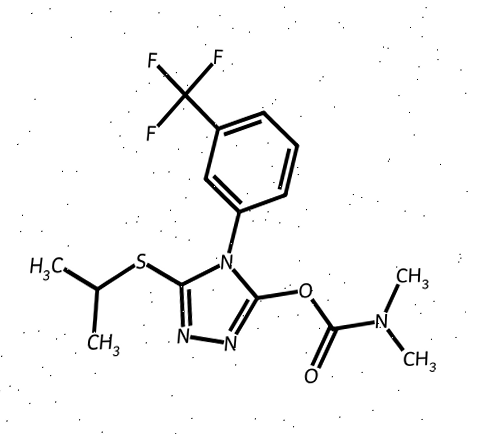 CC(C)Sc1nnc(OC(=O)N(C)C)n1-c1cccc(C(F)(F)F)c1